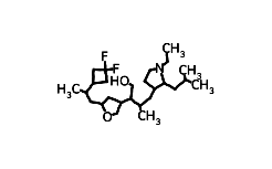 CCN1CCC(CC(C)C(CO)C2COC(CC(C)C3CC(F)(F)C3)C2)C1CC(C)C